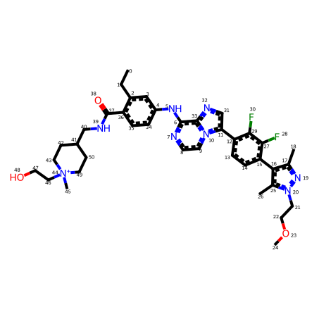 CCc1cc(Nc2nccn3c(-c4ccc(-c5c(C)nn(CCOC)c5C)c(F)c4F)cnc23)ccc1C(=O)NCC1CC[N+](C)(CCO)CC1